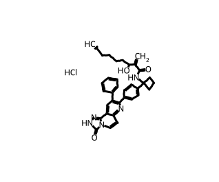 C#CCCCCC(O)C(=C)C(=O)NC1(c2ccc(-c3nc4ccn5c(=O)[nH]nc5c4cc3-c3ccccc3)cc2)CCC1.Cl